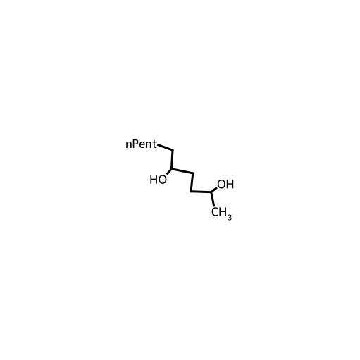 CCCCCCC(O)CCC(C)O